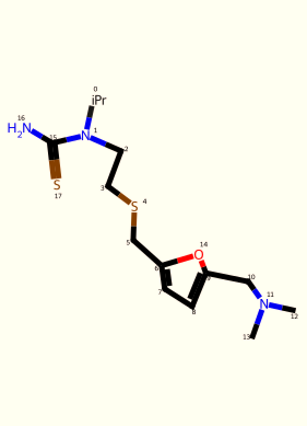 CC(C)N(CCSCc1ccc(CN(C)C)o1)C(N)=S